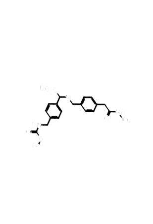 CC(C)NC(=O)Cc1ccc(CNC(C(=O)O)c2ccc(CNC(=O)OC(C)(C)C)cc2)cc1